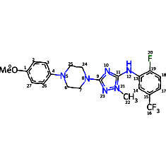 COc1ccc(N2CCN(c3nc(Nc4cc(C(F)(F)F)ccc4F)n(C)n3)CC2)cc1